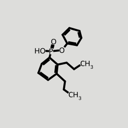 CCCc1cccc(P(=O)(O)Oc2ccccc2)c1CCC